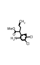 C=CCC(C(=O)OC)c1cc(Cl)c(Cl)cc1N